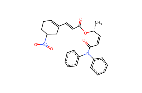 C[C@H](/C=C\C(=O)N(c1ccccc1)c1ccccc1)OC(=O)/C=C/C1=CCCC([N+](=O)[O-])C1